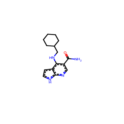 NC(=O)c1cnc2[nH]ccc2c1NCC1CCCCC1